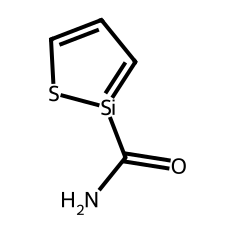 NC(=O)[si]1cccs1